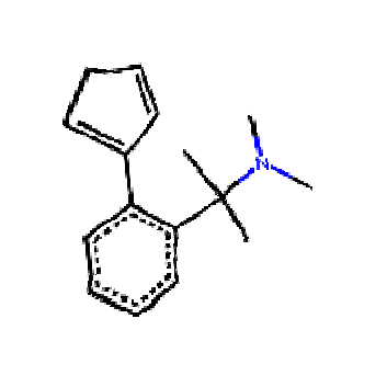 CN(C)C(C)(C)c1ccccc1C1=CCC=C1